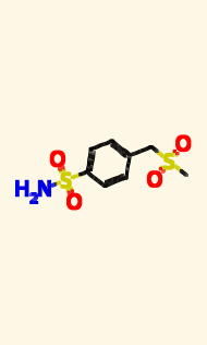 CS(=O)(=O)Cc1ccc(S(N)(=O)=O)cc1